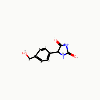 O=C1NC(=O)C(c2ccc(CO)cc2)N1